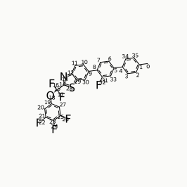 Cc1ccc(-c2ccc(-c3ccc4nc(C(F)(F)Oc5cc(F)c(F)c(F)c5)sc4c3)c(F)c2)cc1